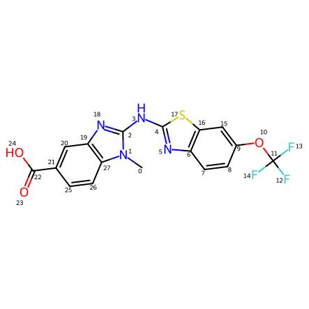 Cn1c(Nc2nc3ccc(OC(F)(F)F)cc3s2)nc2cc(C(=O)O)ccc21